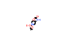 CC(C)(C)OC(O)N1CCC2(CC1)CNC(=O)CO2